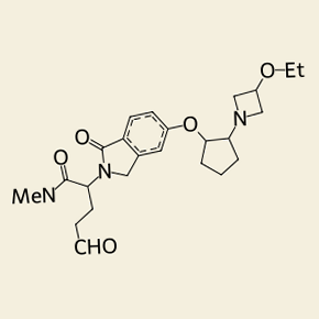 CCOC1CN(C2CCCC2Oc2ccc3c(c2)CN(C(CCC=O)C(=O)NC)C3=O)C1